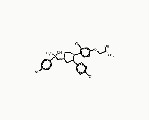 C[C@@H](O)COc1ccc(N2CCN(C[C@@](C)(O)c3ccc(C#N)cc3)CC2c2ccc(Cl)cc2)c(Cl)c1